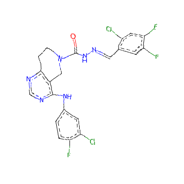 O=C(N/N=C/c1cc(F)c(F)cc1Cl)N1CCc2ncnc(Nc3ccc(F)c(Cl)c3)c2C1